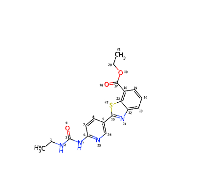 CCNC(=O)Nc1ccc(-c2nc3cccc(C(=O)OCC)c3s2)cn1